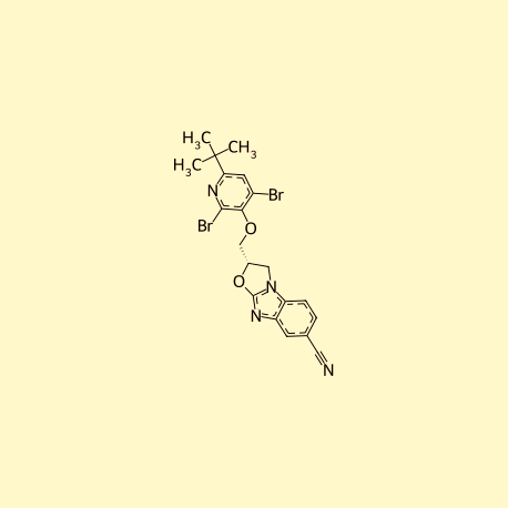 CC(C)(C)c1cc(Br)c(OC[C@@H]2Cn3c(nc4cc(C#N)ccc43)O2)c(Br)n1